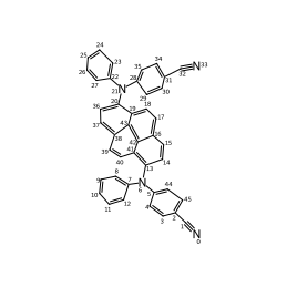 N#Cc1ccc(N(c2ccccc2)c2ccc3ccc4c(N(c5ccccc5)c5ccc(C#N)cc5)ccc5ccc2c3c54)cc1